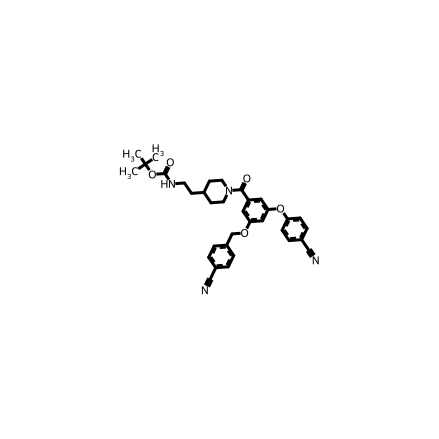 CC(C)(C)OC(=O)NCCC1CCN(C(=O)c2cc(OCc3ccc(C#N)cc3)cc(Oc3ccc(C#N)cc3)c2)CC1